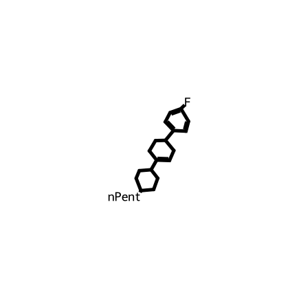 CCCCCC1CCC(C2=CCC(c3ccc(F)cc3)CC2)CC1